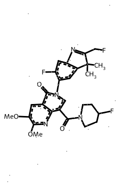 COc1cc2c(=O)n(-c3cc4c(cc3F)N=C(CF)C4(C)C)cc(C(=O)N3CCC(F)CC3)c2nc1OC